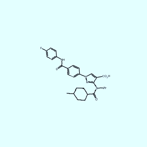 CC1CCC(C(=O)N(c2nn(-c3ccc(C(=O)Nc4ccc(F)cc4)cc3)cc2C(=O)O)C(C)C)CC1